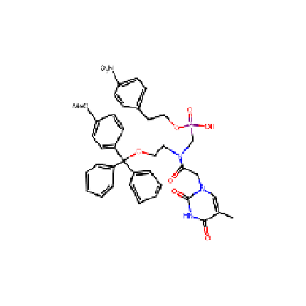 COc1ccc(C(OCCN(CP(=O)(O)OCCc2ccc([N+](=O)[O-])cc2)C(=O)Cn2cc(C)c(=O)[nH]c2=O)(c2ccccc2)c2ccccc2)cc1